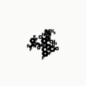 Cn1nc(NS(C)(=O)=O)c2c(Cl)ccc(-c3cc4c(nc3C(Cc3cc(F)cc(F)c3)NC(=O)Cn3nc(C(F)F)c5c3C(F)(F)CC5)CCC(=O)N4)c21